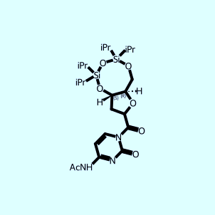 CC(=O)Nc1ccn(C(=O)C2C[C@@H]3O[Si](C(C)C)(C(C)C)O[Si](C(C)C)(C(C)C)OC[C@H]3O2)c(=O)n1